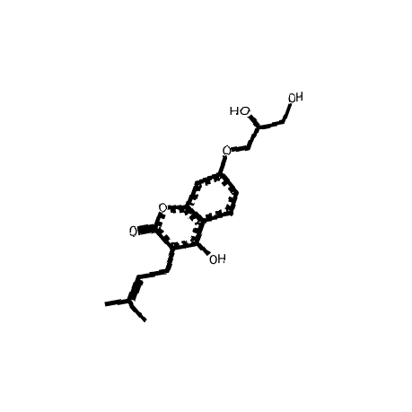 CC(C)=CCc1c(O)c2ccc(OCC(O)CO)cc2oc1=O